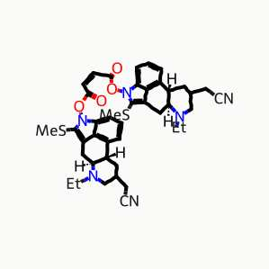 CCN1CC(CC#N)C[C@H]2c3cccc4c3c(c(SC)n4OC(=O)/C=C\C(=O)On3c(SC)c4c5c(cccc53)[C@@H]3CC(CC#N)CN(CC)[C@H]3C4)C[C@@H]21